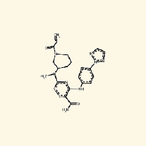 C=CC(=O)N1CCCC(N(C)c2nnc(C(N)=O)c(Nc3ccc(-n4nccn4)cc3)n2)C1